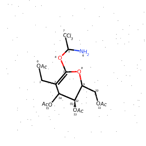 CC(=O)OCC1=C(OC(N)C(Cl)(Cl)Cl)OC(COC(C)=O)[C@@H](OC(C)=O)C1OC(C)=O